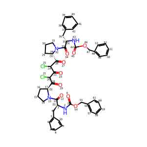 O=C(N[C@@H](Cc1ccccc1)C(=O)N1CCC[C@H]1C(=O)C(Cl)C(=O)C(Cl)C(=O)[C@@H]1CCCN1C(=O)[C@H](Cc1ccccc1)NC(=O)OCc1ccccc1)OCc1ccccc1